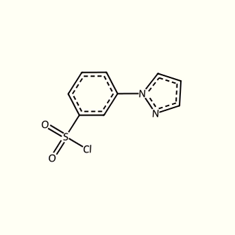 O=S(=O)(Cl)c1cccc(-n2cccn2)c1